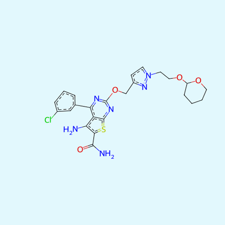 NC(=O)c1sc2nc(OCc3ccn(CCOC4CCCCO4)n3)nc(-c3cccc(Cl)c3)c2c1N